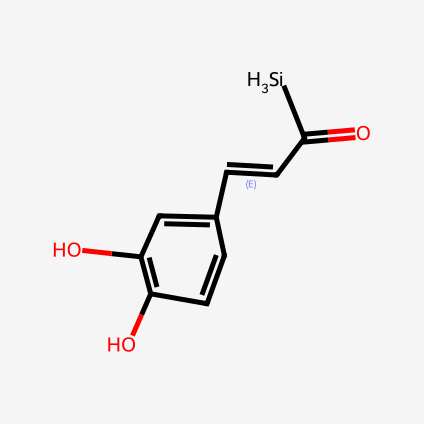 O=C([SiH3])/C=C/c1ccc(O)c(O)c1